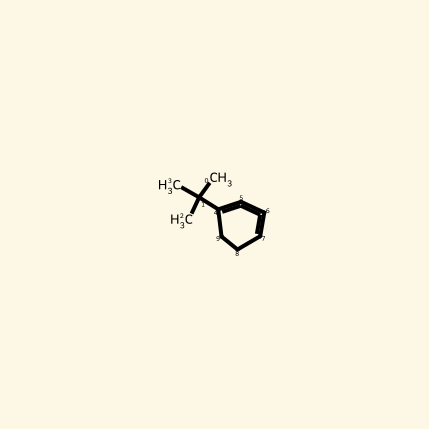 CC(C)(C)C1=C=C=CCC1